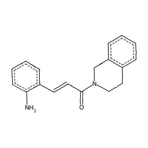 Nc1ccccc1/C=C/C(=O)N1CCc2ccccc2C1